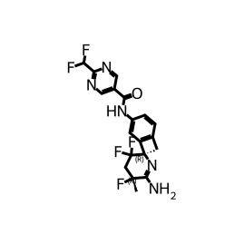 C[C@@]1(F)CC(F)(F)[C@]2(Cc3ccc(NC(=O)c4cnc(C(F)F)nc4)cc32)N=C1N